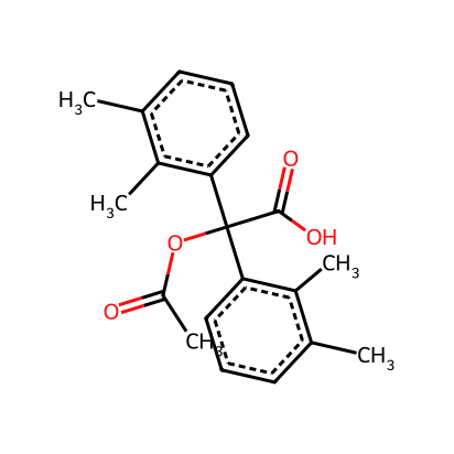 CC(=O)OC(C(=O)O)(c1cccc(C)c1C)c1cccc(C)c1C